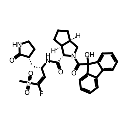 CS(=O)(=O)/C(F)=C\[C@H](C[C@H]1CCNC1=O)NC(=O)[C@@H]1[C@H]2CCC[C@H]2CN1C(=O)C1(O)c2ccccc2-c2ccccc21